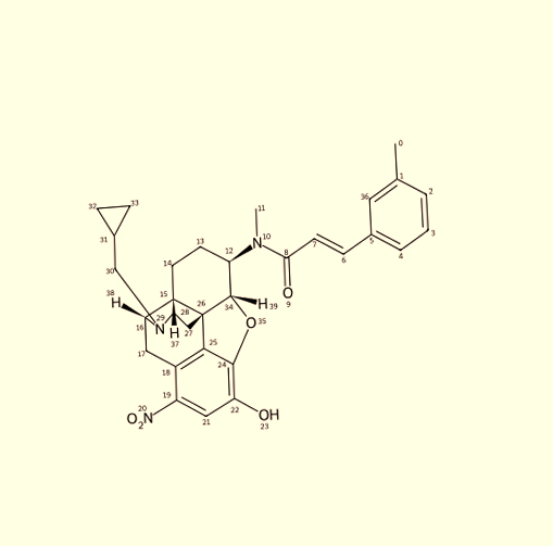 Cc1cccc(C=CC(=O)N(C)[C@@H]2CC[C@H]3[C@H]4Cc5c([N+](=O)[O-])cc(O)c6c5[C@@]3(CCN4CC3CC3)[C@H]2O6)c1